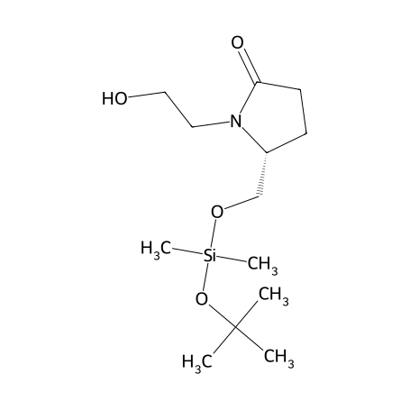 CC(C)(C)O[Si](C)(C)OC[C@H]1CCC(=O)N1CCO